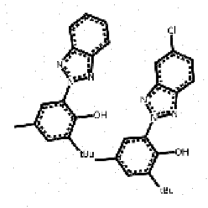 Cc1cc(-n2nc3ccc(Cl)cc3n2)c(O)c(C(C)(C)C)c1.Cc1cc(-n2nc3ccccc3n2)c(O)c(C(C)(C)C)c1